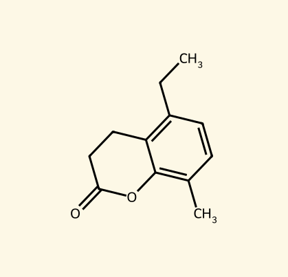 CCc1ccc(C)c2c1CCC(=O)O2